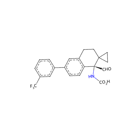 O=C[C@@]1(NC(=O)O)c2ccc(-c3cccc(C(F)(F)F)c3)cc2CCC12CC2